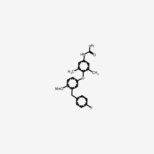 CCCC(=O)Nc1cc(C)c(Oc2ccc(OC)c(Cc3ccc(F)cc3)c2)c(C)c1